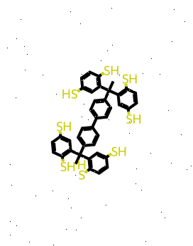 CC(c1ccc(-c2ccc(C(C)(c3cc(S)ccc3S)c3cc(S)ccc3S)cc2)cc1)(c1cc(S)ccc1S)c1cc(S)ccc1S